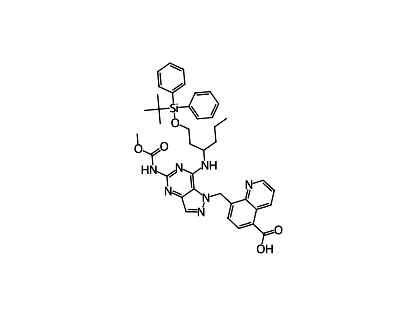 CCCC(CCO[Si](c1ccccc1)(c1ccccc1)C(C)(C)C)Nc1nc(NC(=O)OC)nc2cnn(Cc3ccc(C(=O)O)c4cccnc34)c12